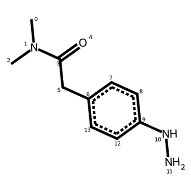 CN(C)C(=O)Cc1ccc(NN)cc1